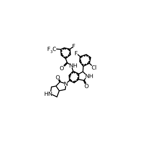 O=C(Nc1cc(N2CC3CNCC3C2=O)cc2c1C(c1cc(F)ccc1Cl)NC2=O)c1cc(F)cc(C(F)(F)F)c1